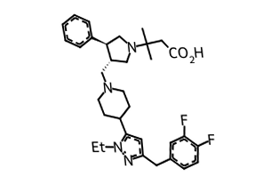 CCn1nc(Cc2ccc(F)c(F)c2)cc1C1CCN(C[C@H]2CN(C(C)(C)CC(=O)O)C[C@@H]2c2ccccc2)CC1